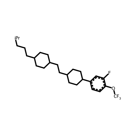 CC(C)CCCC1CCC(CCC2CCC(c3ccc(OC(F)(F)F)c(F)c3)CC2)CC1